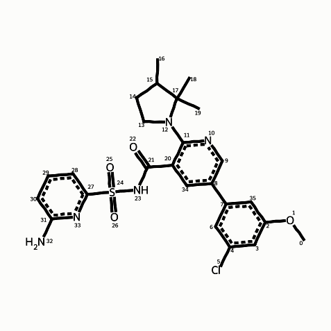 COc1cc(Cl)cc(-c2cnc(N3CCC(C)C3(C)C)c(C(=O)NS(=O)(=O)c3cccc(N)n3)c2)c1